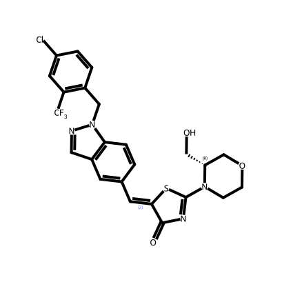 O=C1N=C(N2CCOC[C@H]2CO)S/C1=C\c1ccc2c(cnn2Cc2ccc(Cl)cc2C(F)(F)F)c1